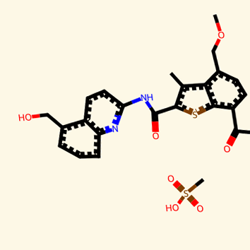 COCc1ccc(C(C)=O)c2sc(C(=O)Nc3ccc4c(CO)cccc4n3)c(C)c12.CS(=O)(=O)O